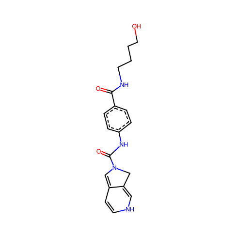 O=C(NCCCCO)c1ccc(NC(=O)N2C=C3C=CNC=C3C2)cc1